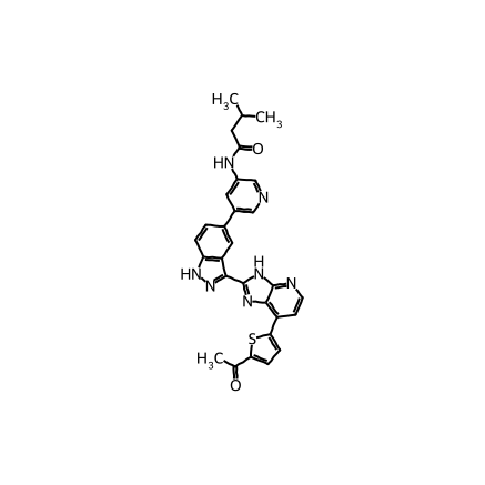 CC(=O)c1ccc(-c2ccnc3[nH]c(-c4n[nH]c5ccc(-c6cncc(NC(=O)CC(C)C)c6)cc45)nc23)s1